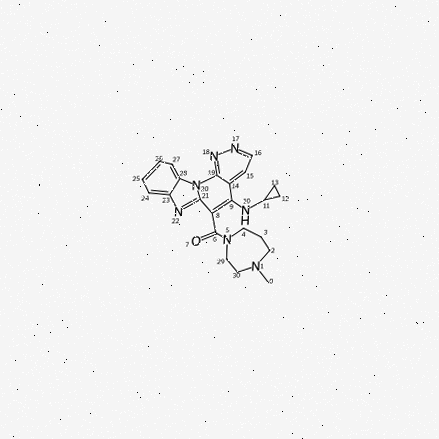 CN1CCCN(C(=O)c2c(NC3CC3)c3ccnnc3n3c2nc2ccccc23)CC1